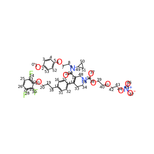 COc1ccc(OCCN(C(=O)C2=C(c3ccc(CCCOc4c(F)ccc(F)c4F)cc3)CCN(C(=O)OCCOCCO[N+](=O)[O-])C2)C2CC2)cc1